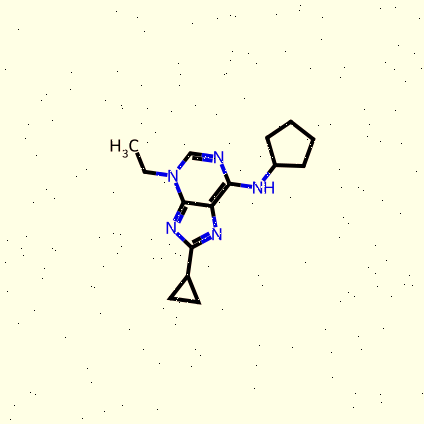 CCn1cnc(NC2CCCC2)c2nc(C3CC3)nc1-2